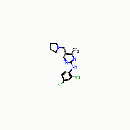 FC(F)(F)c1nc(Nc2ccc(Cl)cc2Cl)ncc1CN1CCCC1